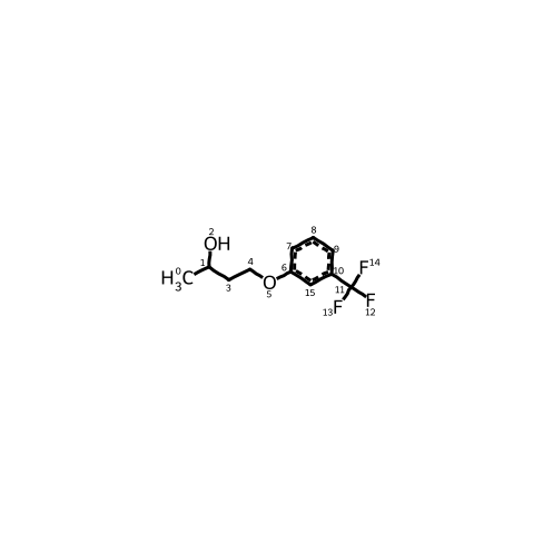 CC(O)CCOc1cccc(C(F)(F)F)c1